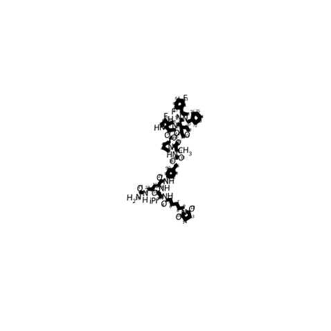 CC(C)[C@H](NC(=O)CCCCCN1C(=O)C=CC1=O)C(=O)N[C@@H](CCCNC(N)=O)C(=O)Nc1ccc(COC(=O)N[C@H](C)C(=O)N2CCC[C@H]2C(=O)O[C@@H]2C(=O)N([C@@H](c3nc(-c4cc(F)ccc4F)cn3Cc3ccccc3)C3CCOCC3)C[C@@H]3C2NC[C@@H]3F)cc1